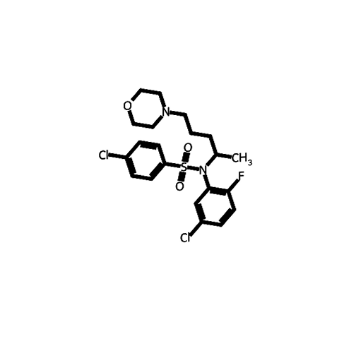 CC(CCCN1CCOCC1)N(c1cc(Cl)ccc1F)S(=O)(=O)c1ccc(Cl)cc1